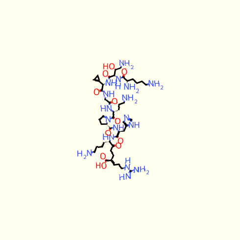 N=C(N)NCC/C=C(\CCC(=O)[C@H](CCCCN)NC(=O)[C@H](Cc1cnc[nH]1)NC(=O)[C@@H]1CCCN1C(=O)[C@@H](CCCN)NC(=O)CNC(=O)[C@@H](NC(=O)[C@@H](NC(=O)[C@@H](N)CCCCN)[C@@H](O)CN)C1CC1)C(=O)O